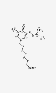 CCCCCCCCCCCCCCCCCC(Cl)C=C(C)C(=O)OCCN(C)C